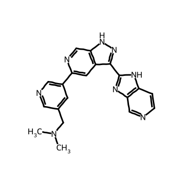 CN(C)Cc1cncc(-c2cc3c(-c4nc5cnccc5[nH]4)n[nH]c3cn2)c1